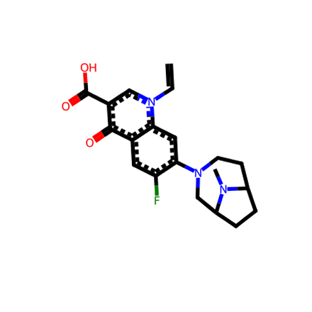 C=Cn1cc(C(=O)O)c(=O)c2cc(F)c(N3CCC4CCC(C3)N4C)cc21